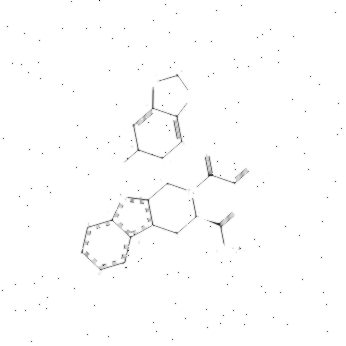 C=CC(=O)N1[C@@H](C(=O)OC)Cc2c([nH]c3ccccc23)[C@@H]1C1C=C2OCOC2=CC1C